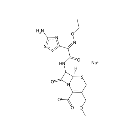 CCO/N=C(/C(=O)NC1C(=O)N2C(C(=O)[O-])=C(COC)CS[C@H]12)c1csc(N)n1.[Na+]